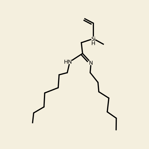 C=C[SiH](C)CC(=NCCCCCCC)NCCCCCCC